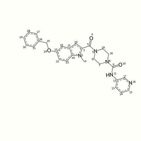 Cn1c(C(=O)N2CCN(C(=O)Nc3cccnc3)CC2)cc2cc(OCc3ccccc3)ccc21